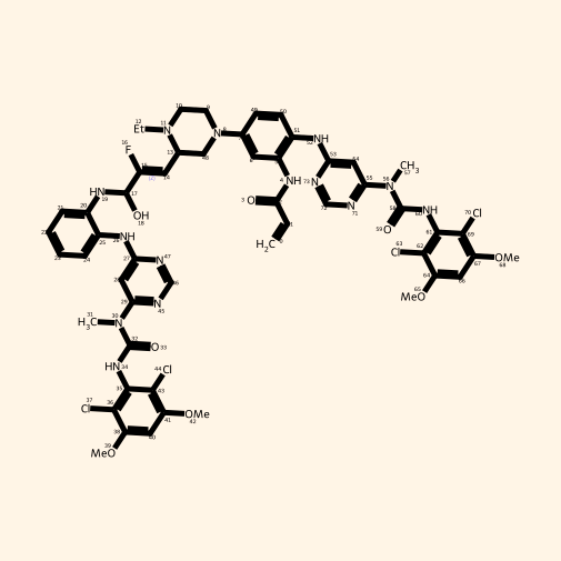 C=CC(=O)Nc1cc(N2CCN(CC)C(/C=C(\F)C(O)Nc3ccccc3Nc3cc(N(C)C(=O)Nc4c(Cl)c(OC)cc(OC)c4Cl)ncn3)C2)ccc1Nc1cc(N(C)C(=O)Nc2c(Cl)c(OC)cc(OC)c2Cl)ncn1